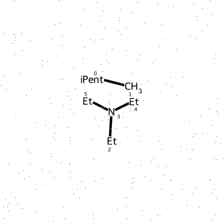 CCCC(C)C.CCN(CC)CC